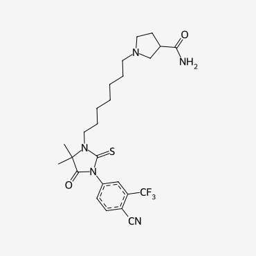 CC1(C)C(=O)N(c2ccc(C#N)c(C(F)(F)F)c2)C(=S)N1CCCCCCCN1CCC(C(N)=O)C1